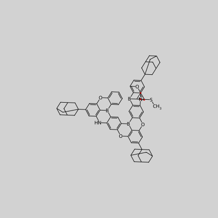 CSN1c2cc3c(cc2B2c4ccccc4Oc4cc(C56CC7CC(CC(C7)C5)C6)cc1c42)B1c2cc4c(cc2Oc2cc(C56CC7CC(CC(C7)C5)C6)cc(c21)O3)Nc1cc(C23CC5CC(CC(C5)C2)C3)cc2c1B4c1ccccc1O2